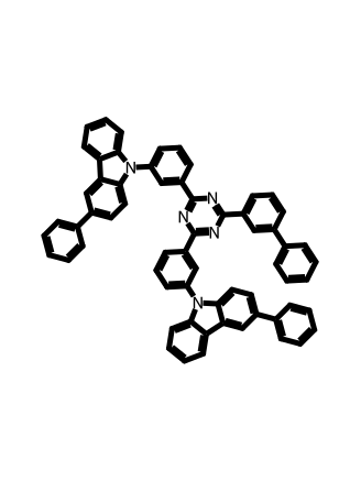 c1ccc(-c2cccc(-c3nc(-c4cccc(-n5c6ccccc6c6cc(-c7ccccc7)ccc65)c4)nc(-c4cccc(-n5c6ccccc6c6cc(-c7ccccc7)ccc65)c4)n3)c2)cc1